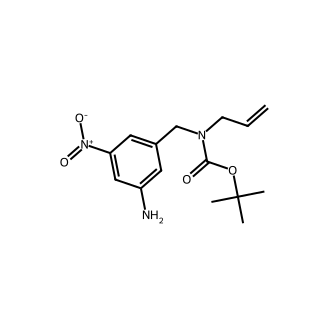 C=CCN(Cc1cc(N)cc([N+](=O)[O-])c1)C(=O)OC(C)(C)C